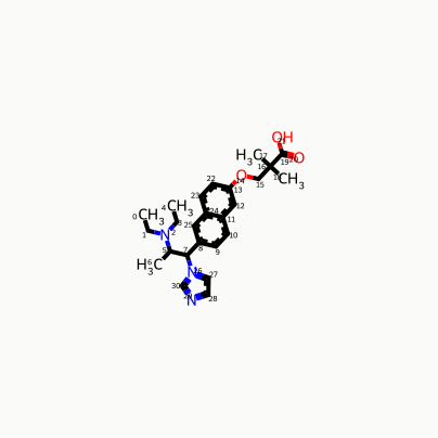 CCN(CC)C(C)C(c1ccc2cc(OCC(C)(C)C(=O)O)ccc2c1)n1ccnc1